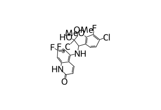 COCC(O)(C(Nc1cc(F)cc2[nH]c(=O)ccc12)c1ccc(Cl)c(F)c1OC)C(F)(F)F